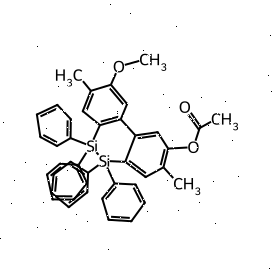 COc1cc2c(cc1C)[Si](c1ccccc1)(c1ccccc1)[Si](c1ccccc1)(c1ccccc1)c1cc(C)c(OC(C)=O)cc1-2